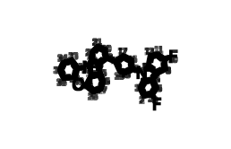 Fc1ccc2c(c1)c1cc(F)ccc1n2-c1ccc(-c2cccc3c2c2cccc4c2n3-c2ccccc2O4)cc1